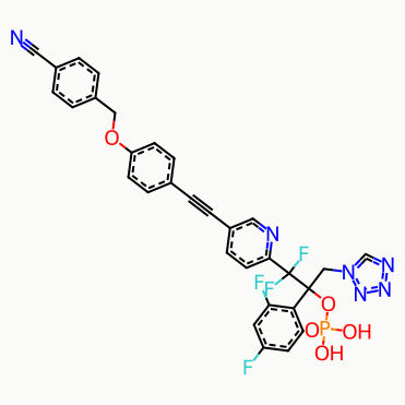 N#Cc1ccc(COc2ccc(C#Cc3ccc(C(F)(F)C(Cn4cnnn4)(OP(=O)(O)O)c4ccc(F)cc4F)nc3)cc2)cc1